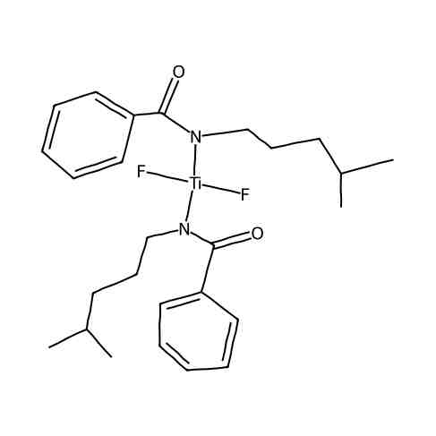 CC(C)CCC[N](C(=O)c1ccccc1)[Ti]([F])([F])[N](CCCC(C)C)C(=O)c1ccccc1